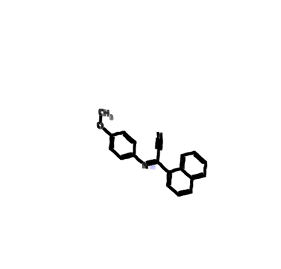 COc1ccc(/N=C(\C#N)c2cccc3ccccc23)cc1